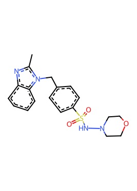 Cc1nc2ccccc2n1Cc1ccc(S(=O)(=O)NN2CCOCC2)cc1